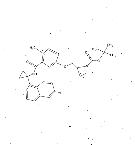 Cc1ccc(OCC2CCN2C(=O)OC(C)(C)C)cc1C(=O)NC1(c2cccc3cc(F)ccc23)CC1